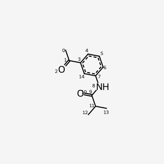 CC(=O)c1cccc(NC(=O)C(C)C)c1